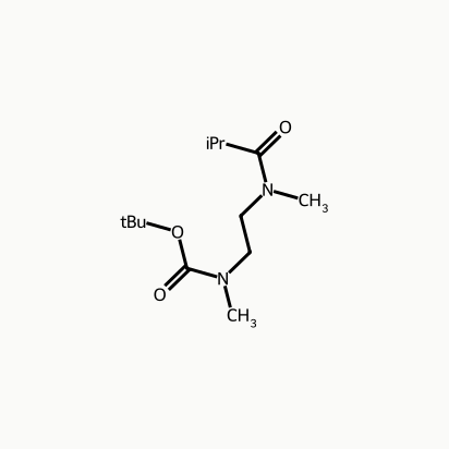 CC(C)C(=O)N(C)CCN(C)C(=O)OC(C)(C)C